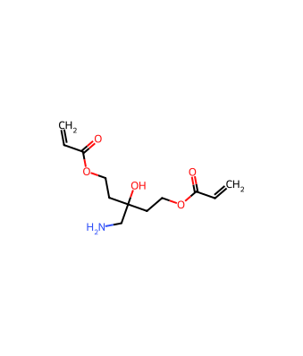 C=CC(=O)OCCC(O)(CN)CCOC(=O)C=C